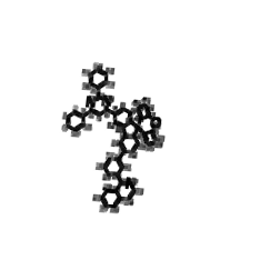 c1ccc(-c2cc(-c3ccc4c(c3)-c3cc(-c5cccc(-c6nccc7ccccc67)c5)ccc3C43c4ccccc4Oc4ccccc43)nc(-c3ccccc3)n2)cc1